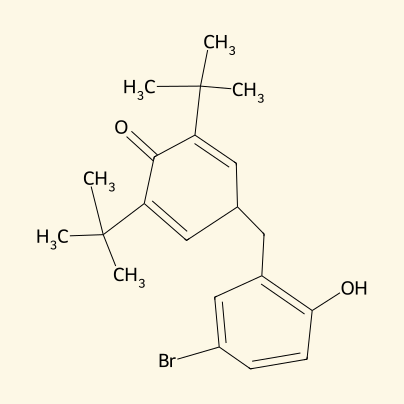 CC(C)(C)C1=CC(Cc2cc(Br)ccc2O)C=C(C(C)(C)C)C1=O